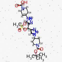 CC(C)(C)OC(=O)N1CCC(n2cc(C(OS(C)(=O)=O)c3cn(C4CCN(C(=O)O)CC4)nn3)nn2)CC1